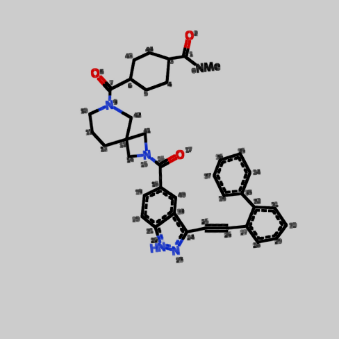 CNC(=O)C1CCC(C(=O)N2CCCC3(CN(C(=O)c4ccc5[nH]nc(C#Cc6ccccc6-c6ccccc6)c5c4)C3)C2)CC1